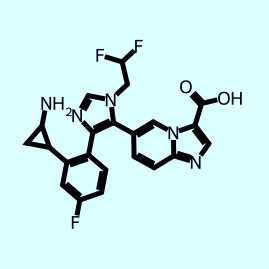 NC1CC1c1cc(F)ccc1-c1ncn(CC(F)F)c1-c1ccc2ncc(C(=O)O)n2c1